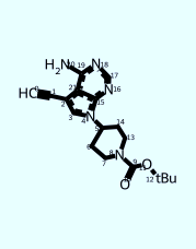 C#Cc1cn(C2CCN(C(=O)OC(C)(C)C)CC2)c2ncnc(N)c12